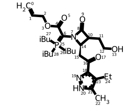 C=CCOC(=O)C(N1C(=O)C(CCO)[C@H]1CC(=O)c1n[nH]c(C)c1CC)=P(C(C)CC)(C(C)CC)C(C)CC